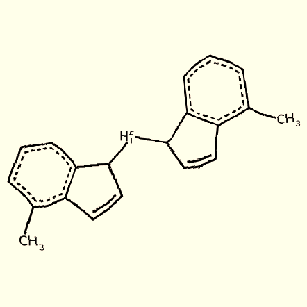 Cc1cccc2c1C=C[CH]2[Hf][CH]1C=Cc2c(C)cccc21